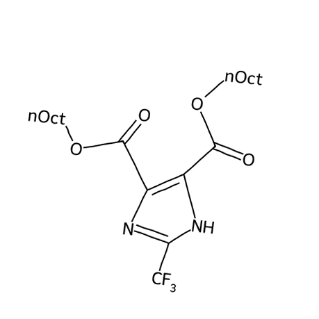 CCCCCCCCOC(=O)c1nc(C(F)(F)F)[nH]c1C(=O)OCCCCCCCC